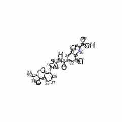 COc1c(-c2csc(NC(=O)c3cc(Cl)c(/C=C(\C)C(=O)O)c(Cl)c3)n2)cccc1C(CC(C)(C)C)OC